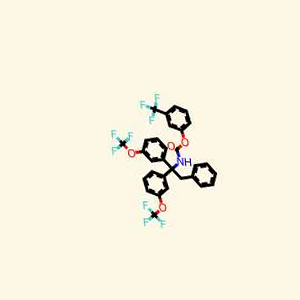 O=C(NC(Cc1ccccc1)(c1cccc(OC(F)(F)F)c1)c1cccc(OC(F)(F)F)c1)Oc1cccc(C(F)(F)F)c1